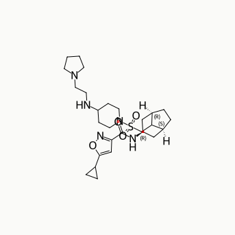 O=C(N[C@H]1C[C@H]2CC[C@@H](C1)C2CS(=O)(=O)N1CCC(NCCN2CCCC2)CC1)c1cc(C2CC2)on1